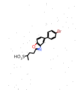 CC(CCc1nc2[c]c(-c3ccc(Br)cc3)ccc2o1)S(=O)(=O)O